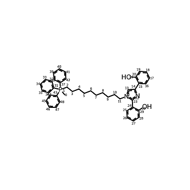 CP(CCCCCCCCCCn1cc(-c2ccccc2O)nc1-c1ccccc1O)(c1ccccc1)(c1ccccc1)c1ccccc1